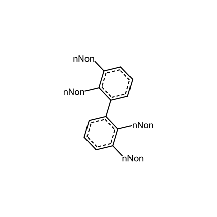 CCCCCCCCCc1cccc(-c2cccc(CCCCCCCCC)c2CCCCCCCCC)c1CCCCCCCCC